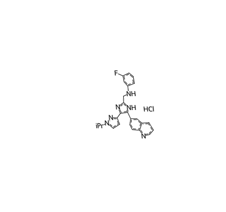 CC(C)n1ccc(-c2nc(CNc3cccc(F)c3)[nH]c2-c2ccc3ncccc3c2)n1.Cl